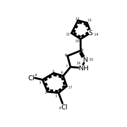 Clc1cc(Cl)cc(C2CC(c3cccs3)=NN2)c1